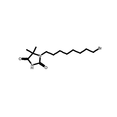 CC1(C)C(=O)NC(=O)N1CCCCCCCCBr